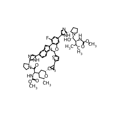 COC(=O)NC(C(=O)N1CCC[C@H]1c1ncc(-c2ccc3c(c2)cc2n3C(c3ccc(C4CC4)s3)Oc3cc(-c4cnc([C@@H]5CCCN5[C@@H](O)[C@@H](NC(=O)OC)C(C)C)[nH]4)cc(F)c3-2)[nH]1)C1C[C@@H](C)O[C@@H](C)C1